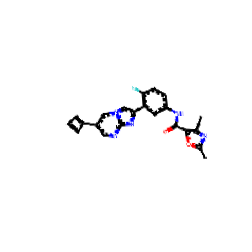 Cc1nc(C)c(C(=O)Nc2ccc(F)c(-c3cn4cc(C5=CC=C5)cnc4n3)c2)o1